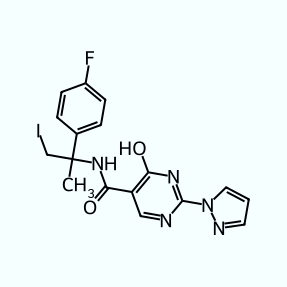 CC(CI)(NC(=O)c1cnc(-n2cccn2)nc1O)c1ccc(F)cc1